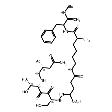 C=C(NC(C)CC)C(Cc1ccccc1)NC(=O)C(C)CCCCNC(=O)CCC(NN[C@@H](CO)C(=O)C(=O)[C@@H](NN[C@@H](CC(N)=O)C(C)=O)[C@@H](C)O)C(=O)O